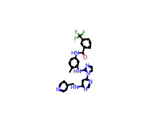 Cc1ccc(NC(=O)c2cccc(C(F)(F)F)c2)cc1Nc1nccn1-c1cc(NCc2ccncc2)ncn1